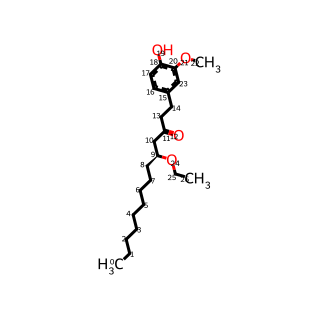 CCCCCCCCC[C@@H](CC(=O)CCc1ccc(O)c(OC)c1)OCC